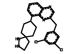 Clc1cc(Cl)cc(Cc2cnc3cccc(C4CCC5(CCNN5)CC4)c3n2)c1